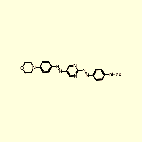 CCCCCCc1ccc(N=Nc2ncc(N=Nc3ccc(N4CCOCC4)cc3)cn2)cc1